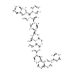 C1=CC2=CC(c3ccc4ccc5ccc(-c6ccccc6)nc5c4n3)=CC3=CC=C4C=C(c5ccc(-c6nc7ccccc7c7c6ccc6c8ccccc8sc67)cc5)C=C1C4C32